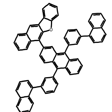 c1cc(-c2cccc3ccccc23)cc(-c2c3ccccc3c(-c3cccc(-c4cccc5ccccc45)c3)c3cc(-c4c5ccccc5cc5c4oc4ccccc45)ccc23)c1